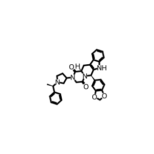 C[C@H](c1ccccc1)N1CCC(N2CC(=O)N3[C@H](c4ccc5c(c4)OCO5)c4[nH]c5ccccc5c4C[C@@H]3C2=O)C1